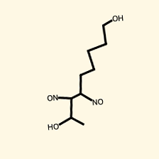 CC(O)C(N=O)C(CCCCCO)N=O